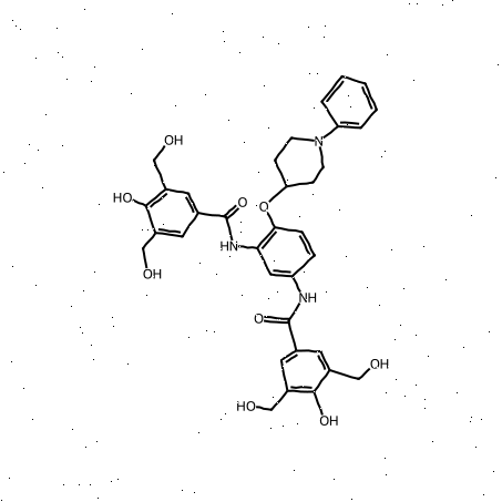 O=C(Nc1ccc(OC2CCN(c3ccccc3)CC2)c(NC(=O)c2cc(CO)c(O)c(CO)c2)c1)c1cc(CO)c(O)c(CO)c1